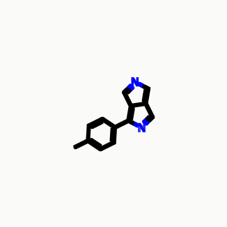 Cc1ccc(C2=C3C=NC=C3C=N2)cc1